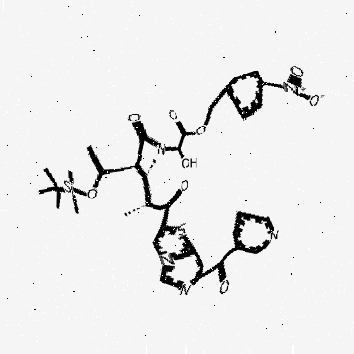 CC(O[Si](C)(C)C(C)(C)C)[C@H]1C(=O)N(C(O)C(=O)OCc2ccc([N+](=O)[O-])cc2)[C@@H]1[C@@H](C)C(=O)c1cn2cnc(C(=O)c3cccnc3)c2s1